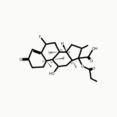 CCC(=O)OC1(C(=O)O)C(C)C[C@H]2[C@@H]3CC(F)C4=CC(=O)CC[C@]4(C)[C@]3(F)C(O)C[C@@]21C